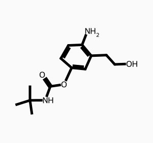 CC(C)(C)NC(=O)Oc1ccc(N)c(CCO)c1